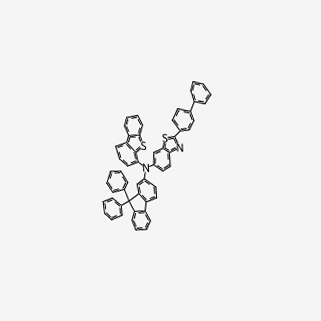 c1ccc(-c2ccc(-c3nc4ccc(N(c5ccc6c(c5)C(c5ccccc5)(c5ccccc5)c5ccccc5-6)c5cccc6c5sc5ccccc56)cc4s3)cc2)cc1